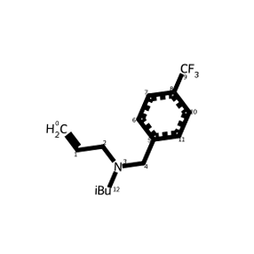 C=CCN(Cc1ccc(C(F)(F)F)cc1)C(C)CC